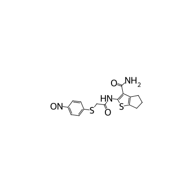 NC(=O)c1c(NC(=O)CSc2ccc(N=O)cc2)sc2c1CCC2